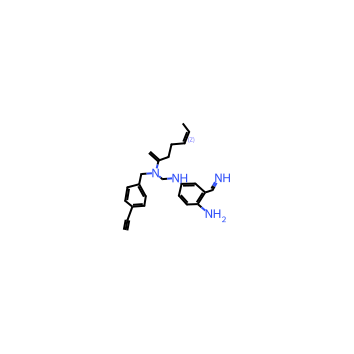 C#Cc1ccc(CN(CNc2ccc(N)c(C=N)c2)C(=C)CC/C=C\C)cc1